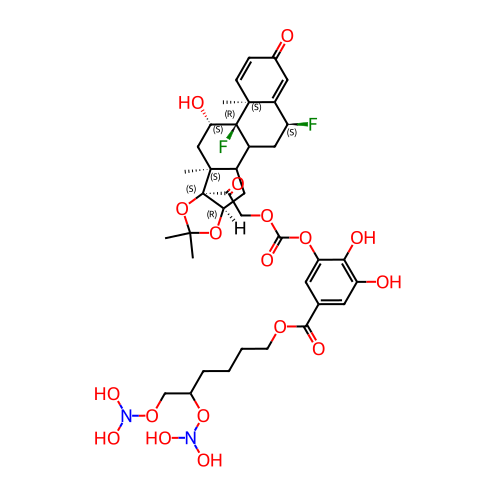 CC1(C)O[C@@H]2CC3C4C[C@H](F)C5=CC(=O)C=C[C@]5(C)[C@@]4(F)[C@@H](O)C[C@]3(C)[C@]2(C(=O)COC(=O)Oc2cc(C(=O)OCCCCC(CON(O)O)ON(O)O)cc(O)c2O)O1